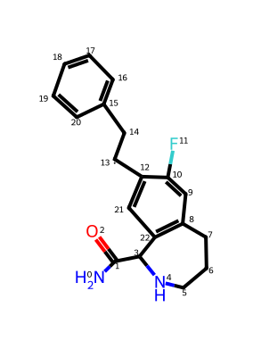 NC(=O)C1NCCCc2cc(F)c([CH]Cc3ccccc3)cc21